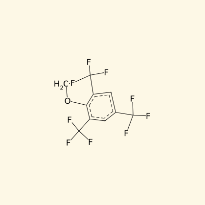 [CH2]Oc1c(C(F)(F)F)cc(C(F)(F)F)cc1C(F)(F)F